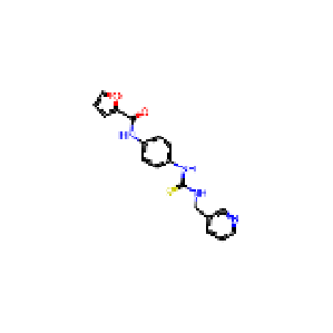 O=C(Nc1ccc(NC(=S)NCc2cccnc2)cc1)c1ccco1